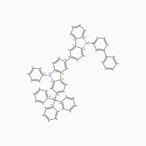 c1ccc(-c2cccc(-n3c4ccccc4c4cc(-c5ccc6c(c5)c5ccc([Si](c7ccccc7)(c7ccccc7)c7ccccc7)cc5n6-c5ccccc5)ccc43)c2)cc1